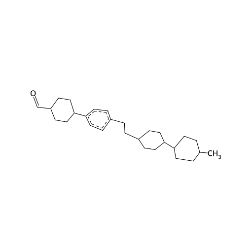 CC1CCC(C2CCC(CCc3ccc(C4CCC(C=O)CC4)cc3)CC2)CC1